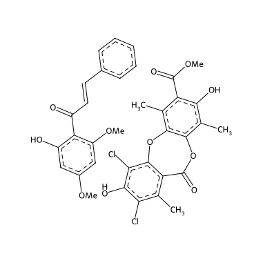 COC(=O)c1c(C)c2c(c(C)c1O)OC(=O)c1c(C)c(Cl)c(O)c(Cl)c1O2.COc1cc(O)c(C(=O)C=Cc2ccccc2)c(OC)c1